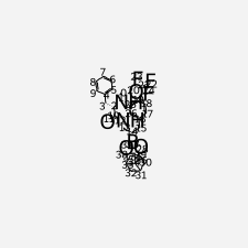 CN[C@@H](Cc1ccccc1)C(=O)NC[C@@H](Cc1ccc(OC(F)(F)F)cc1)B1OC2CC3CC(C3(C)C)[C@@]2(C)O1